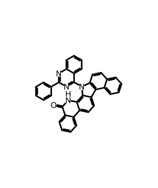 O=c1[nH]c2c(ccc3c4c5ccccc5ccc4n(-c4nc(-c5ccccc5)nc5ccccc45)c32)c2ccccc12